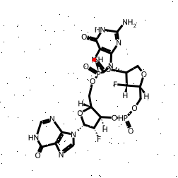 Nc1nc2c(ncn2[C@@]23CO[C@H](CO[PH](=O)O[C@H]4[C@H](F)[C@H](n5cnc6c(=O)[nH]cnc65)O[C@@H]4CO[P@@](=O)(S)O2)[C@@H]3F)c(=O)[nH]1